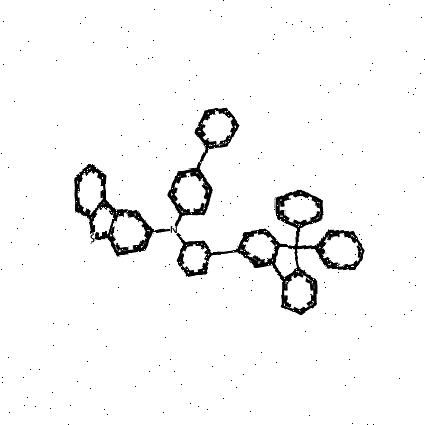 c1ccc(-c2ccc(N(c3cccc(-c4ccc5c(c4)-c4ccccc4C5(c4ccccc4)c4ccccc4)c3)c3ccc4sc5ccccc5c4c3)cc2)cc1